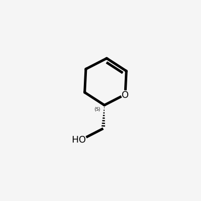 OC[C@@H]1CCC=CO1